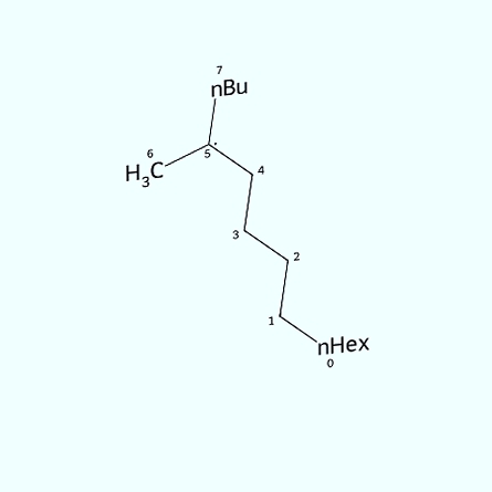 CCCCCCCCCC[C](C)CCCC